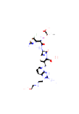 C[C@H](O/N=C(\C(=O)NC1C(=O)N2C(C(=O)O)=C(C[n+]3cccc4c3nc(N)n4CCNCCO)CSC12)c1nc(N)sc1Cl)C(=O)O